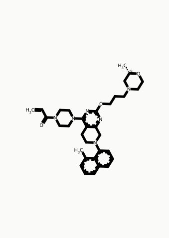 C=CC(=O)N1CCN(c2nc(OCCCN3CCO[C@@H](C)C3)nc3c2CCN(c2cccc4cccc(C)c24)C3)CC1